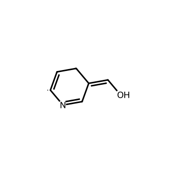 OC=C1C=N[C]=CC1